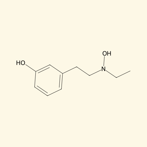 CCN(O)CCc1cccc(O)c1